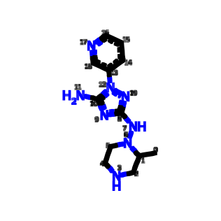 CC1CNCCN1Nc1nc(N)n(-c2cccnc2)n1